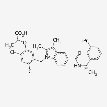 Cc1c(C)n(Cc2cc(OC(C)C(=O)O)c(Cl)cc2Cl)c2ccc(C(=O)N[C@@H](C)c3cccc(C(C)C)c3)cc12